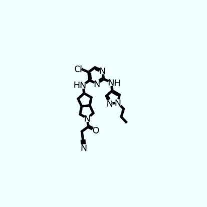 CCCn1cc(Nc2ncc(Cl)c(NC3CC4CN(C(=O)CC#N)CC4C3)n2)cn1